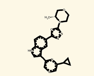 C[C@@H]1COCCN1c1nnc(-c2ccc3[nH]cc(-c4cncc(C5CC5)n4)c3c2)o1